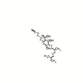 CC(C)=CCC/C(C)=C/Cc1c(O)cc(CCCCC#N)c(C(=O)O)c1O